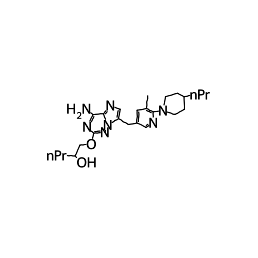 CCCC(O)COc1nc(N)c2ncc(Cc3cnc(N4CCC(CCC)CC4)c(C)c3)n2n1